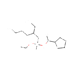 CCCCC(CC)C[Si](C)(OCC)OC(C)C1CCCC1